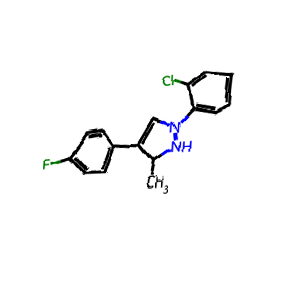 CC1NN(c2ccccc2Cl)C=C1c1ccc(F)cc1